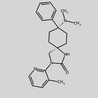 Cc1cccnc1N1C[C@]2(CC[C@@](c3ccccc3)(N(C)C)CC2)NC1=O